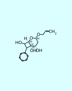 C=CCO[C@H]1C[C@H](O)[C@@]2(O)C(c3ccccc3)C(O)[C@H]2O1